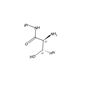 CCC[C@H](O)[C@H](N)C(=O)NC(C)C